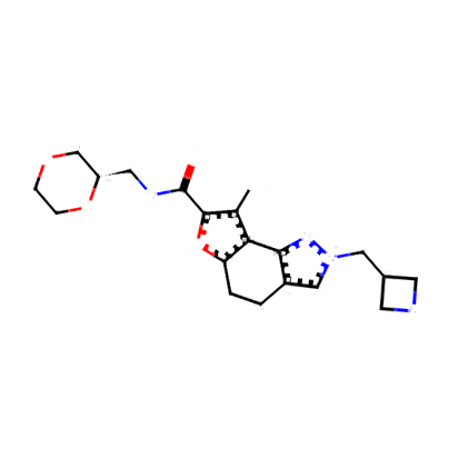 Cc1c(C(=O)NC[C@@H]2COCCO2)oc2c1-c1nn(CC3CNC3)cc1CC2